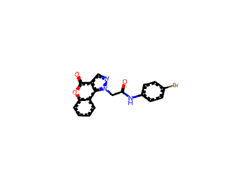 O=C(Cn1ncc2c(=O)oc3ccccc3c21)Nc1ccc(Br)cc1